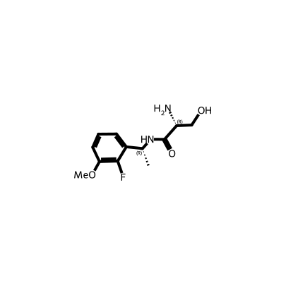 COc1cccc([C@@H](C)NC(=O)[C@H](N)CO)c1F